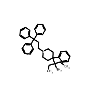 CCC(N)(CC)C1(c2ccccc2)CCN(CCC(c2ccccc2)(c2ccccc2)c2ccccc2)CC1